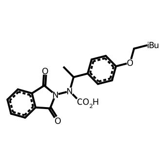 CCC(C)COc1ccc(C(C)N(C(=O)O)N2C(=O)c3ccccc3C2=O)cc1